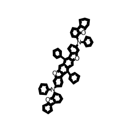 c1ccc(-c2c3cc4oc5cc(N(c6ccccc6)c6cccc7c6oc6ccccc67)ccc5c4c(-c4ccccc4)c3cc3oc4cc(N(c5ccccc5)c5cccc6c5oc5ccccc56)ccc4c23)cc1